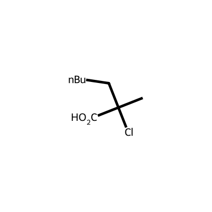 CCCCCC(C)(Cl)C(=O)O